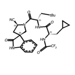 CC(C)(C)C[C@H](NC(=O)[C@H](CC1CC1)NC(=O)C(F)(F)F)C(=O)N1C[C@]2(C[C@H]1C#N)C(=O)Nc1ccccc12